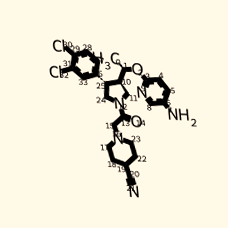 C[C@H](Oc1ccc(N)cn1)[C@H]1CN(C(=O)CN2CCC(C#N)CC2)C[C@@H]1c1ccc(Cl)c(Cl)c1